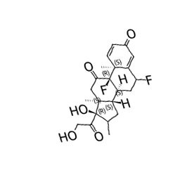 CC1C[C@H]2[C@@H]3CC(F)C4=CC(=O)C=C[C@]4(C)[C@@]3(F)C(=O)C[C@]2(C)[C@@]1(O)C(=O)CO